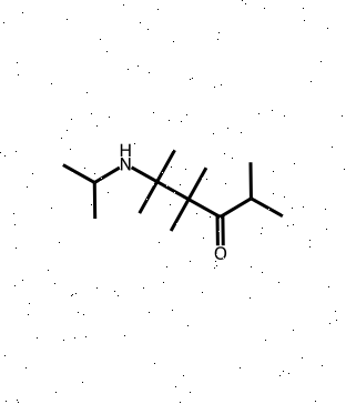 CC(C)NC(C)(C)C(C)(C)C(=O)C(C)C